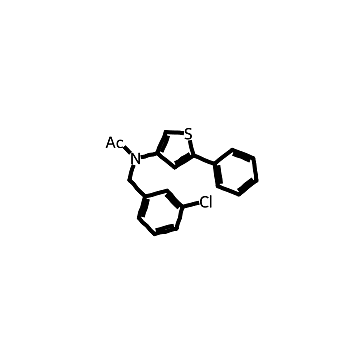 CC(=O)N(Cc1cccc(Cl)c1)c1csc(-c2ccccc2)c1